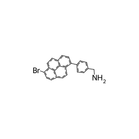 NCc1ccc(-c2ccc3ccc4c(Br)ccc5ccc2c3c54)cc1